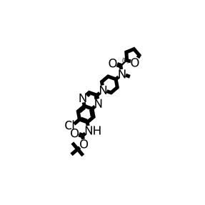 CN(C(=O)[C@H]1CCCO1)C1CCN(c2cnc3cc(Cl)c(NC(=O)OC(C)(C)C)cc3n2)CC1